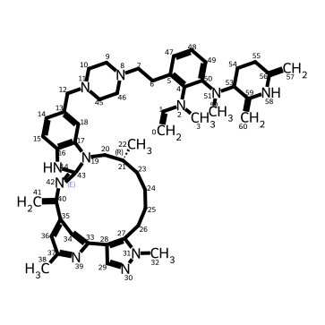 C=CN(C)c1c(CCN2CCN(Cc3ccc4c(c3)N3C[C@H](C)CCCCc5c(cnn5C)-c5cc(cc(C)n5)C(=C)/N=C/3N4)CC2)cccc1N(C)C1CCC(=C)NC1=C